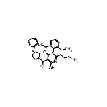 CCCCc1nc(O)c(C(=O)N2CC[C@H](c3ccccc3)C2)c(=O)n1-c1c(CC)cccc1CC